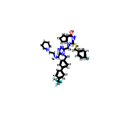 CN(CCN1CCCCC1)Cc1nnc(Cn2c(SCc3ccc(F)cc3)nc(=O)c3c2CCC3)n1Cc1ccc(-c2ccc(C(F)(F)F)cc2)cc1